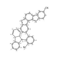 N#Cc1ccc2sc3c(ccc4sc5ccc(-c6cccc(C#N)c6N6c7ccccc7C7C=CC=CC76)cc5c43)c2c1